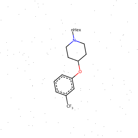 [CH2]CCCCCN1CCC(Oc2cccc(C(F)(F)F)c2)CC1